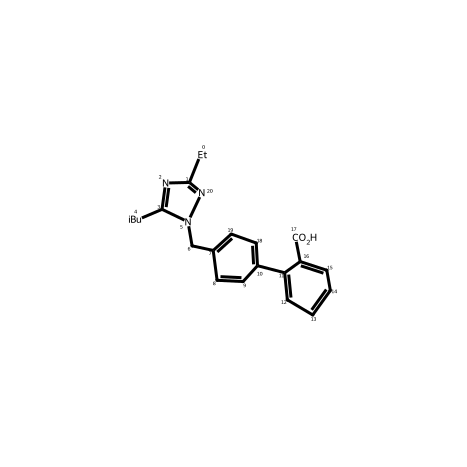 CCc1nc(C(C)CC)n(Cc2ccc(-c3ccccc3C(=O)O)cc2)n1